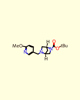 COc1ccc(CN2C[C@H]3C[C@@H]2CN3C(=O)OC(C)(C)C)cn1